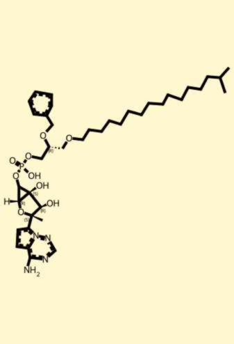 CC(C)CCCCCCCCCCCCCCOC[C@H](COP(=O)(O)OC1[C@H]2O[C@@](C)(c3ccc4c(N)ncnn34)[C@H](O)[C@@]12O)OCc1ccccc1